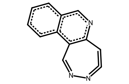 C1=Cc2ncc3ccccc3c2C=NN=1